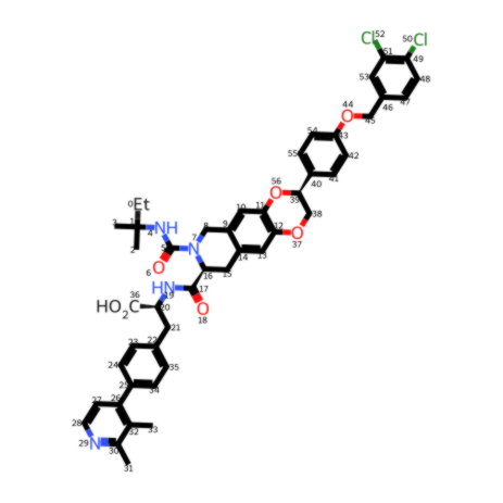 CCC(C)(C)NC(=O)N1Cc2cc3c(cc2C[C@H]1C(=O)N[C@@H](Cc1ccc(-c2ccnc(C)c2C)cc1)C(=O)O)OC[C@H](c1ccc(OCc2ccc(Cl)c(Cl)c2)cc1)O3